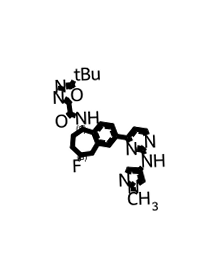 Cn1cc(Nc2nccc(-c3ccc4c(c3)C[C@@H](F)CC[C@@H]4NC(=O)c3nnc(C(C)(C)C)o3)n2)cn1